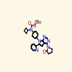 CC(C)(C)OC(=O)N(c1ccc(-n2c(-c3ccccn3)cc3c(N4CCCC4=O)ncnc32)cc1)C1CCC1